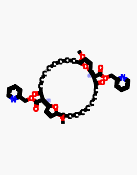 COC12C=C/C(=C(/C(=O)OCc3ccccn3)C(=O)CCCCCCCCC3(OC)C=C/C(=C(\C(=O)OCc4ccccn4)C(=O)CCCCCCCC1)O3)O2